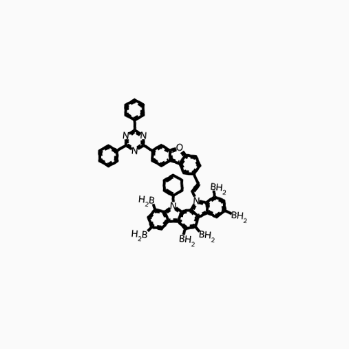 Bc1cc(B)c2c(c1)c1c(B)c(B)c3c4cc(B)cc(B)c4n(C4=CC=CCC4)c3c1n2C=Cc1ccc2oc3cc(-c4nc(-c5ccccc5)nc(-c5ccccc5)n4)ccc3c2c1